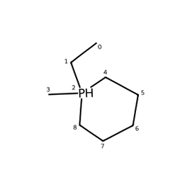 CC[PH]1(C)CCCCC1